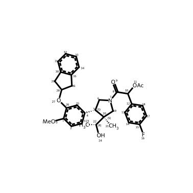 COc1ccc([C@@H]2CN(C(=O)C(OC(C)=O)c3ccc(F)cc3)C[C@@]2(C)[C@@H](C)O)cc1OC1Cc2ccccc2C1